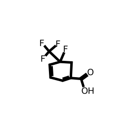 O=C(O)C1=CC=CC(F)(C(F)(F)F)C1